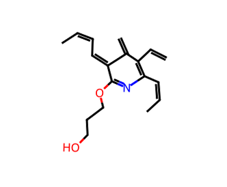 C=Cc1c(/C=C\C)nc(OCCCO)/c(=C/C=C\C)c1=C